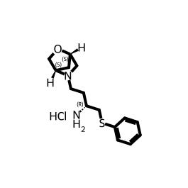 Cl.N[C@H](CCN1C[C@@H]2C[C@H]1CO2)CSc1ccccc1